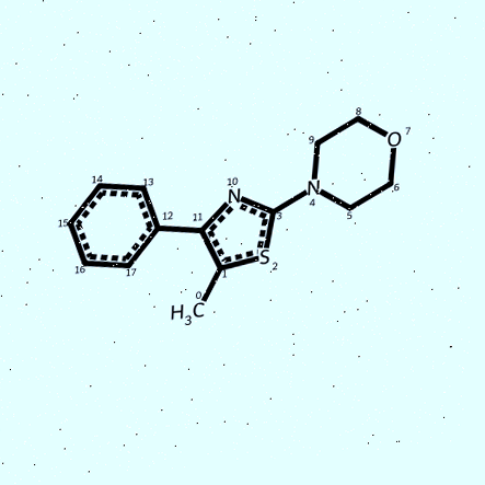 Cc1sc(N2CCOCC2)nc1-c1ccccc1